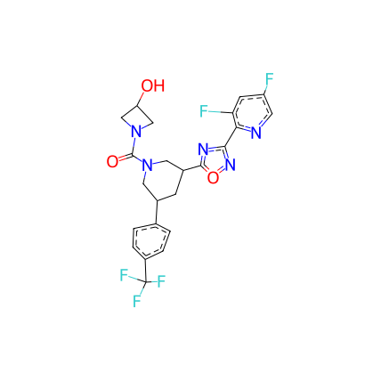 O=C(N1CC(O)C1)N1CC(c2ccc(C(F)(F)F)cc2)CC(c2nc(-c3ncc(F)cc3F)no2)C1